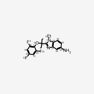 CCn1c(C(C)(C)Oc2c(F)cc(F)cc2F)nc2cc(N)ccc21